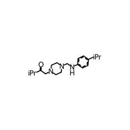 CC(C)C(=O)CN1CCN(CNc2ccc(C(C)C)cc2)CC1